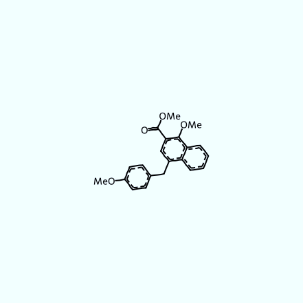 COC(=O)c1cc(Cc2ccc(OC)cc2)c2ccccc2c1OC